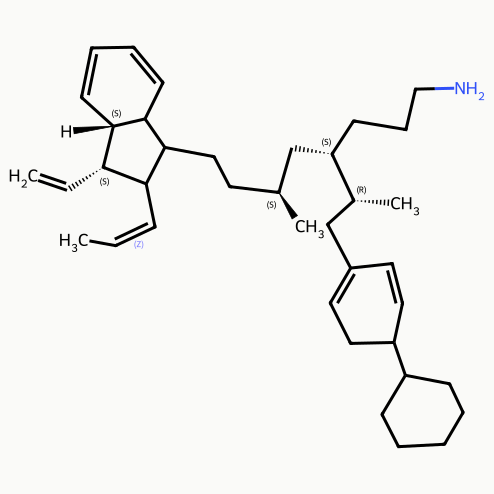 C=C[C@H]1C(/C=C\C)C(CC[C@H](C)C[C@H](CCCN)[C@H](C)CC2=CCC(C3CCCCC3)C=C2)C2C=CC=C[C@H]21